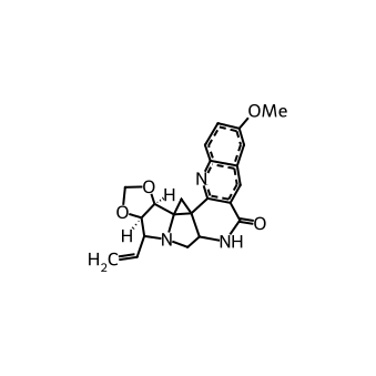 C=CC1[C@H]2OCO[C@H]2C23CC24c2nc5ccc(OC)cc5cc2C(=O)NC4CN13